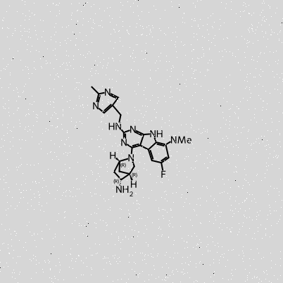 CNc1cc(F)cc2c1[nH]c1nc(NCc3cnc(C)nc3)nc(N3C[C@H]4C[C@@H]3C[C@H]4N)c12